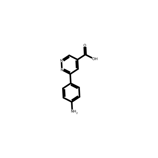 Nc1ccc(-c2cc(C(=O)O)cnn2)cc1